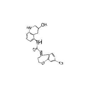 O=C(C=C1CCOc2cc(Cl)ccc21)Nc1cccc2c1CC(O)CN2